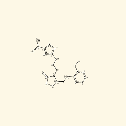 CCc1ccccc1NC[C@H]1CCC(=O)N1CCSc1nc(C(=O)O)cs1